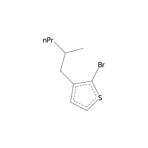 CCCC(C)Cc1ccsc1Br